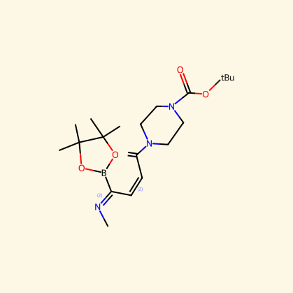 C=C(/C=C\C(=N/C)B1OC(C)(C)C(C)(C)O1)N1CCN(C(=O)OC(C)(C)C)CC1